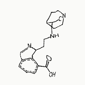 O=C(O)c1cccc2c1C(CCNC1CN3CCC1CC3)N=C2